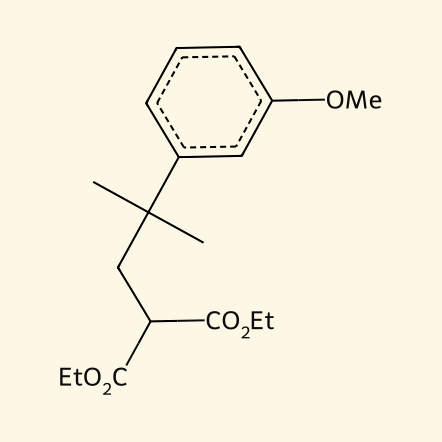 CCOC(=O)C(CC(C)(C)c1cccc(OC)c1)C(=O)OCC